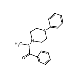 CN(C(=O)c1ccccc1)N1CCN(c2ccccc2)CC1